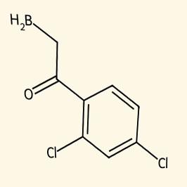 BCC(=O)c1ccc(Cl)cc1Cl